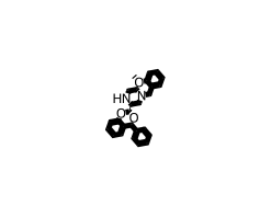 COc1ccccc1CN1CCN[C@@H](C(=O)Oc2ccccc2Cc2ccccc2)C1